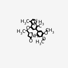 COc1ccc(-c2cc(O[C@H](C)[C@H]3CNC(=O)C3)c3c(C)cnn3c2C)cc1OC